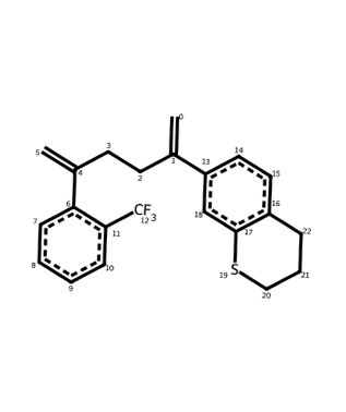 C=C(CCC(=C)c1ccccc1C(F)(F)F)c1ccc2c(c1)SCCC2